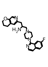 NC(Cc1cc2c(cn1)OCCC2)CN1CCN(c2nccc3ccc(F)cc23)CC1